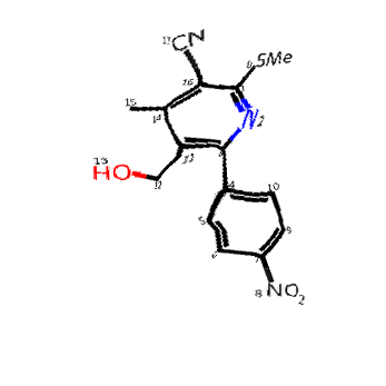 CSc1nc(-c2ccc([N+](=O)[O-])cc2)c(CO)c(C)c1C#N